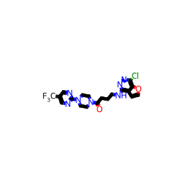 O=C(CCCNc1nnc(Cl)c2occc12)N1CCN(c2ncc(C(F)(F)F)cn2)CC1